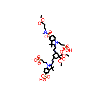 CCOC(=O)CCCN(C)S(=O)(=O)c1ccc2c(c1)C(C)(C)/C(=C\C=C1C=C(/C=C/C3=[N+](CCCS(=O)(=O)O)c4ccc(S(=O)(=O)O)cc4C3(C)C)CC(C(=O)OCC)(C(=O)OCC)C\1)N2CCCS(=O)(=O)O